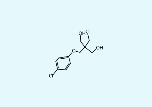 OCC(CO)(CCl)COc1ccc(Cl)cc1